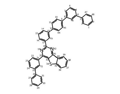 c1ccc(-c2cccc(-c3ccc(-c4cccc(-c5nc(-c6cccc(-c7ccccc7)c6)c6sc7ccccc7c6n5)c4)cc3)c2)cc1